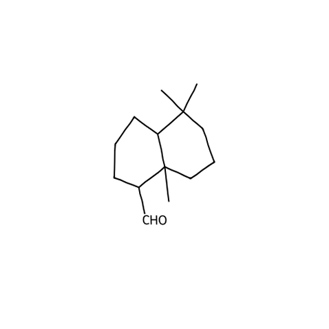 CC1(C)CCCC2(C)C(C=O)CCCC12